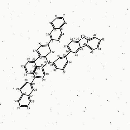 C1=C(c2ccc3ccccc3c2)CC(N(c2ccc(-c3ccc4ccccc4c3)cc2)c2cccc(-c3ccc4oc5ccccc5c4c3)c2)C(c2ccccc2)=C1